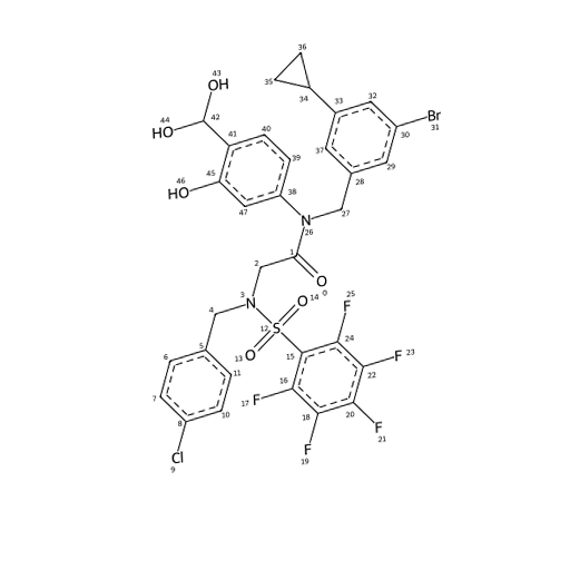 O=C(CN(Cc1ccc(Cl)cc1)S(=O)(=O)c1c(F)c(F)c(F)c(F)c1F)N(Cc1cc(Br)cc(C2CC2)c1)c1ccc(C(O)O)c(O)c1